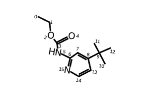 CCOC(=O)Nc1cc(C(C)(C)C)ccn1